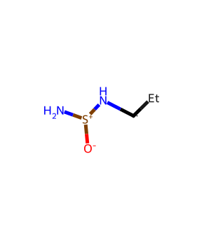 CC[CH]N[S+](N)[O-]